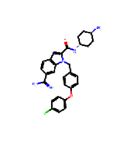 N=C(N)c1ccc2cc(C(=O)N[C@H]3CC[C@H](N)CC3)n(Cc3ccc(Oc4ccc(Cl)cc4)cc3)c2c1